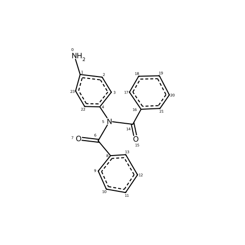 Nc1ccc(N(C(=O)c2ccccc2)C(=O)c2ccccc2)cc1